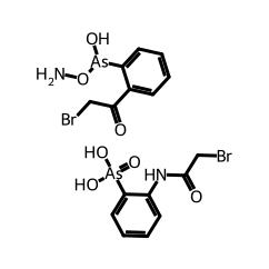 NO[As](O)c1ccccc1C(=O)CBr.O=C(CBr)Nc1ccccc1[As](=O)(O)O